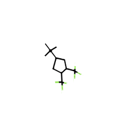 CC(C)(C)C1CC(C(F)(F)F)C(C(F)(F)F)C1